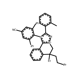 CCC1(CCC(C)C)C[n+]2nc(-c3ccccc3C)n(-c3c(C(C)C)cc(C#N)cc3C(C)C)c2-c2ccccc21